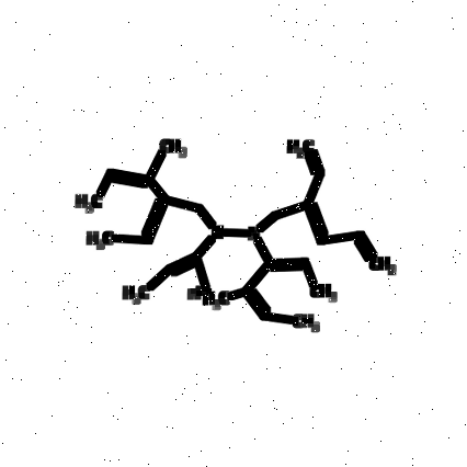 C=C/C=C(\C=C)CN(C(=C/C)/C(C)=C\C)N(CC(=C/C)/C(C)=C\C)/C(=C/C)CCC